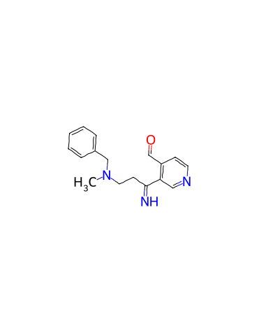 CN(CCC(=N)c1cnccc1C=O)Cc1ccccc1